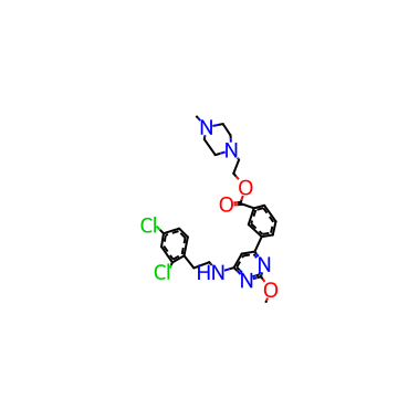 COc1nc(NCCc2ccc(Cl)cc2Cl)cc(-c2cccc(C(=O)OCCN3CCN(C)CC3)c2)n1